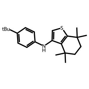 CC(C)(C)c1ccc(Nc2csc3c2C(C)(C)CCC3(C)C)cc1